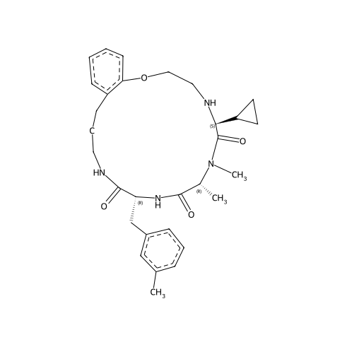 Cc1cccc(C[C@H]2NC(=O)[C@@H](C)N(C)C(=O)[C@H](C3CC3)NCCOc3ccccc3CCCNC2=O)c1